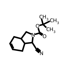 CC(C)(C)OC(=O)N1CC2CC=CCC2C1C#N